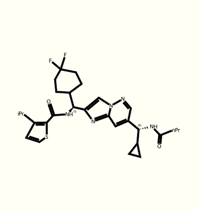 CCCC(=O)N[C@@H](c1cnn2cc([C@@H](NC(=O)c3sccc3C(C)C)C3CCC(F)(F)CC3)nc2c1)C1CC1